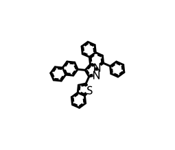 c1ccc(-c2cc3ccccc3c3c(-c4ccc5ccccc5c4)c(-c4cc5ccccc5s4)nn23)cc1